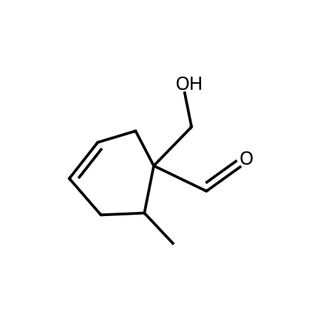 CC1CC=CCC1(C=O)CO